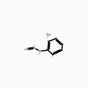 O=POc1ccccc1.[Cu]